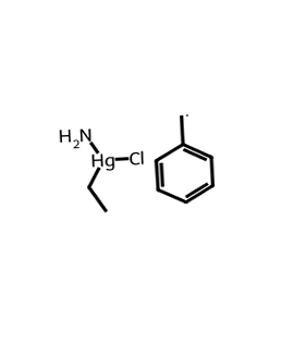 C[CH2][Hg]([NH2])[Cl].[CH2]c1ccccc1